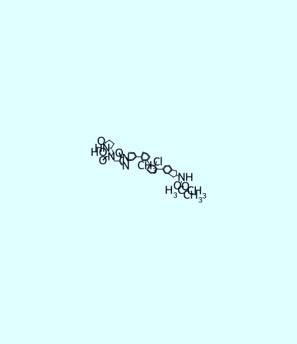 Cc1c(-c2ccn3c(=O)c(CN(C[C@@H]4CCC(=O)N4)C(=O)O)cnc3c2)cccc1-c1cccc(-c2ccc3c(c2)CC(NC(=O)OC(C)(C)C)C3)c1Cl